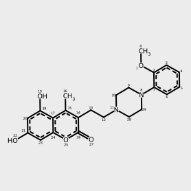 COc1ccccc1N1CCN(CCc2c(C)c3c(O)cc(O)cc3oc2=O)CC1